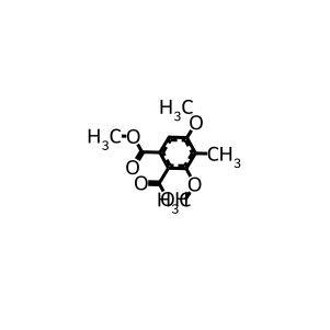 COC(=O)c1cc(OC)c(C)c(OC)c1C(=O)O